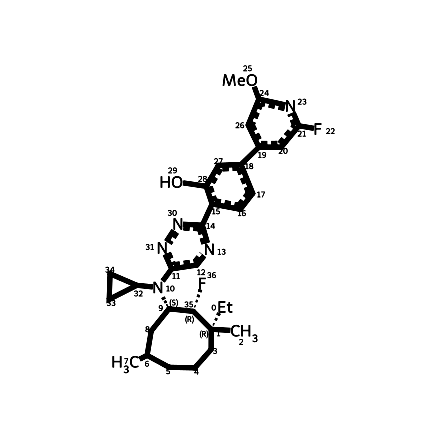 CC[C@]1(C)CCCC(C)C[C@H](N(c2cnc(-c3ccc(-c4cc(F)nc(OC)c4)cc3O)nn2)C2CC2)[C@@H]1F